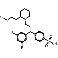 CC(=O)SCCC1CCCCN1CC[C@H](c1ccc(S(C)(=O)=O)cc1)c1cc(F)cc(F)c1